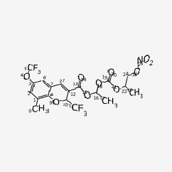 Cc1cc(OC(F)(F)F)cc2c1OC(C(F)(F)F)C(C(=O)OC(C)OC(=O)OC(C)CO[N+](=O)[O-])=C2